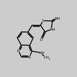 CNc1ncnc2ccc(C=C3SC(=N)NC3=O)cc12